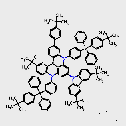 CC(C)(C)c1ccc(-c2ccc3c(c2)N(c2ccc([Si](c4ccccc4)(c4ccccc4)c4ccc(C(C)(C)C)cc4)cc2)c2cc(-n4c5ccc(C(C)(C)C)cc5c5cc(C(C)(C)C)ccc54)cc4c2B3c2cc(C(C)(C)C)ccc2N4c2cccc(C(c3ccccc3)(c3ccccc3)c3ccc(C(C)(C)C)cc3)c2)cc1